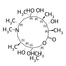 CC[C@H]1OC(=O)[C@H](C)[C@@H](O)[C@H](C)[C@@H](O)[C@](C)(O)C[C@@H](C)N(C)C[C@H](C)[C@@H](O)[C@]1(C)O